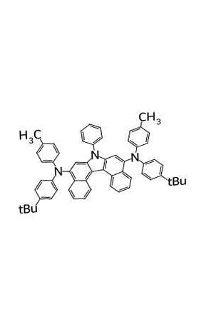 Cc1ccc(N(c2ccc(C(C)(C)C)cc2)c2cc3c(c4ccccc24)c2c4ccccc4c(N(c4ccc(C)cc4)c4ccc(C(C)(C)C)cc4)cc2n3-c2ccccc2)cc1